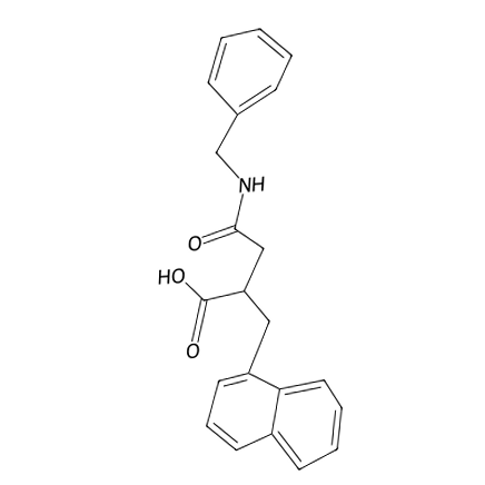 O=C(CC(Cc1cccc2ccccc12)C(=O)O)NCc1ccccc1